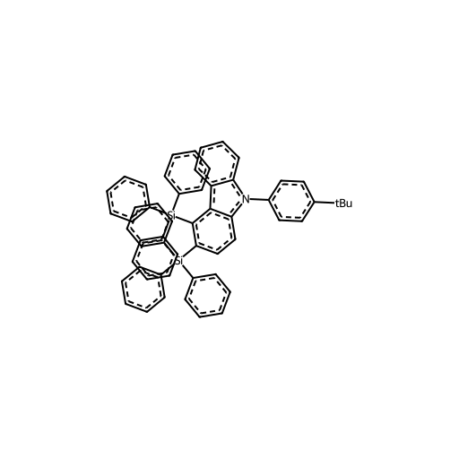 CC(C)(C)c1ccc(-n2c3ccccc3c3c([Si](c4ccccc4)(c4ccccc4)c4ccccc4)c([Si](c4ccccc4)(c4ccccc4)c4ccccc4)ccc32)cc1